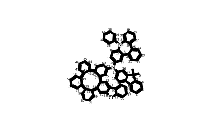 CC1(C)c2ccccc2-c2ccc(N(c3ccc4c(c3)-c3ccccc3-c3ccccc3N4c3ccccc3)c3ccc4c5ccccc5c5ccccc5c5ccccc5c5cc6oc7ccccc7c6cc5c4c3)cc21